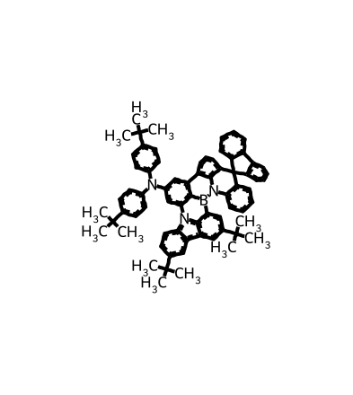 CC(C)(C)c1ccc(N(c2ccc(C(C)(C)C)cc2)c2cc3c4c(c2)-n2c5ccc(C(C)(C)C)cc5c5cc(C(C)(C)C)cc(c52)B4N2c4ccccc4C4(c5ccccc5-c5ccccc54)c4cccc-3c42)cc1